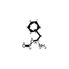 N[C@@H](Cc1ccccc1)OP=O